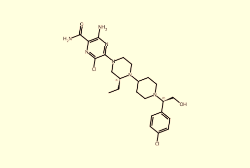 CC[C@H]1CN(c2nc(N)c(C(N)=O)nc2Cl)CCN1C1CCN([C@@H](CO)c2ccc(Cl)cc2)CC1